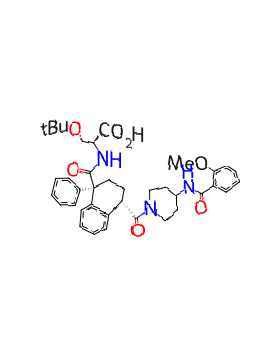 COc1ccccc1C(=O)NC1CCN(C(=O)[C@H]2CC[C@@](C(=O)N[C@@H](COC(C)(C)C)C(=O)O)(c3ccccc3)c3ccccc32)CC1